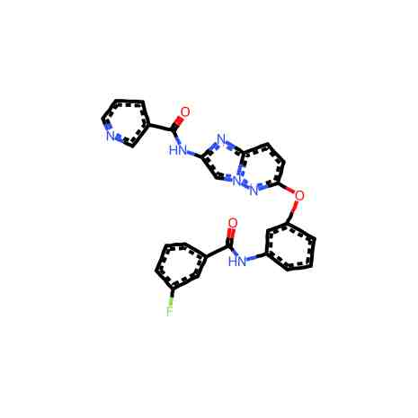 O=C(Nc1cccc(Oc2ccc3nc(NC(=O)c4cccnc4)cn3n2)c1)c1cccc(F)c1